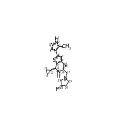 Cc1[nH]ncc1-c1cc2c(s1)C(=C1CC1)NC(CN1CC[C@H](F)C1)=N2